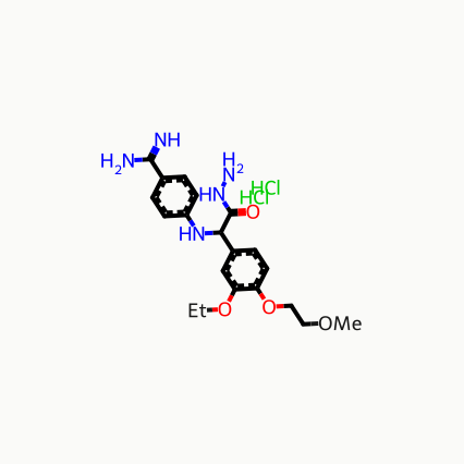 CCOc1cc(C(Nc2ccc(C(=N)N)cc2)C(=O)NN)ccc1OCCOC.Cl.Cl